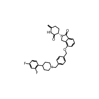 C=C1CC[C@H](N2Cc3c(OCc4ccc(CN5CCC(c6ccc(F)cc6F)CC5)cc4)cccc3C2=O)C(=O)N1